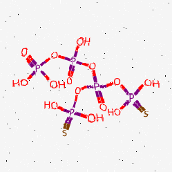 O=P(O)(O)OP(=O)(O)OP(=O)(OP(O)(O)=S)OP(O)(O)=S